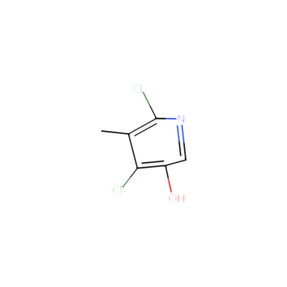 Cc1c(Cl)ncc(O)c1Cl